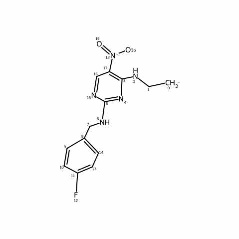 [CH2]CNc1nc(NCc2ccc(F)cc2)ncc1[N+](=O)[O-]